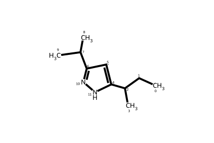 CCC(C)c1[c]c(C(C)C)n[nH]1